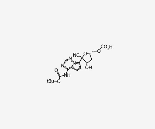 CC(C)(C)OC(=O)Nc1ncnn2c([C@]3(C#N)O[C@H](COC(=O)O)C[C@H]3O)ccc12